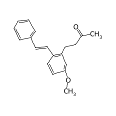 COc1ccc(/C=C/c2ccccc2)c(CCC(C)=O)c1